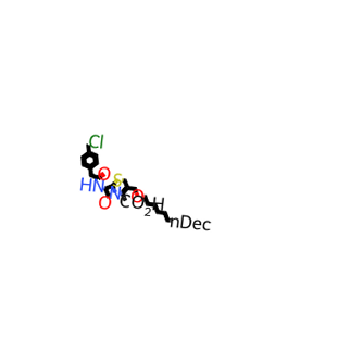 CCCCCCCCCCCCCCCCOCC1=C(C(=O)O)N2C(=O)C(NC(=O)Cc3ccc(CCl)cc3)C2SC1